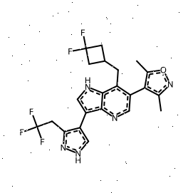 Cc1noc(C)c1-c1cnc2c(-c3c[nH]nc3CC(F)(F)F)c[nH]c2c1CC1CC(F)(F)C1